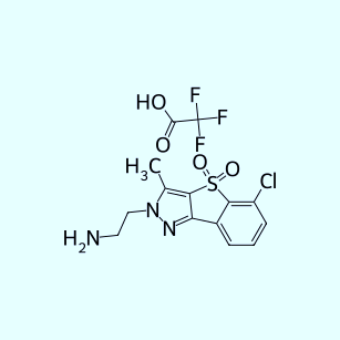 Cc1c2c(nn1CCN)-c1cccc(Cl)c1S2(=O)=O.O=C(O)C(F)(F)F